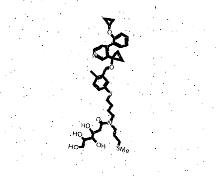 CSCCCN(CCCCSc1ccc(C)c(COC2(c3cnccc3-c3ccccc3OC3CC3)CC2)c1)C(=O)CC(O)C(O)C(O)CO